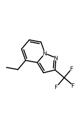 CCc1cccn2nc(C(F)(F)F)cc12